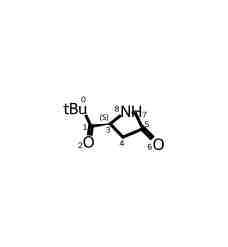 CC(C)(C)C(=O)[C@@H]1CC(=O)CN1